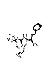 CC(C)(C)OC(=O)N[C@@H](CCCCO)C(=O)OCc1ccccc1